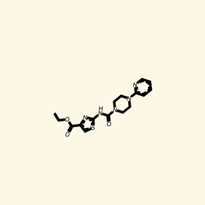 CCOC(=O)c1csc(NC(=O)N2CCN(c3ccccn3)CC2)n1